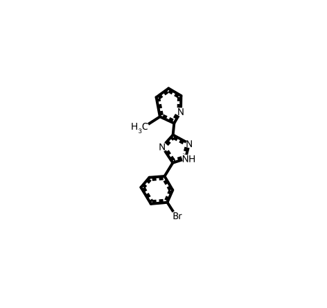 Cc1cccnc1-c1n[nH]c(-c2cccc(Br)c2)n1